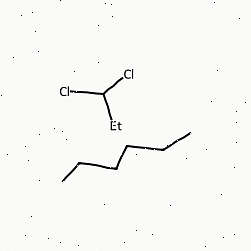 CCC(Cl)Cl.CCCCCC